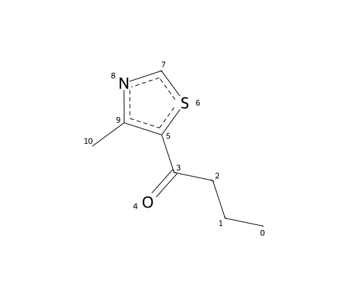 CCCC(=O)c1scnc1C